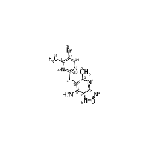 Cc1nc2nonc2c(N)c1Cc1ncc(Br)c(C(F)(F)F)n1